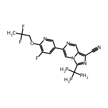 CC(F)(F)COc1ncc(-c2cn3c(C(P)(P)P)nc(C#N)c3cn2)cc1F